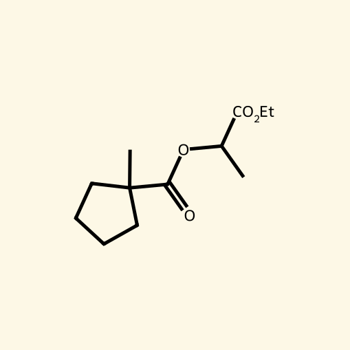 CCOC(=O)C(C)OC(=O)C1(C)CCCC1